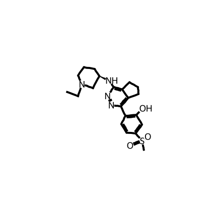 CCN1CCC[C@@H](Nc2nnc(-c3ccc(S(C)(=O)=O)cc3O)c3c2CCC3)C1